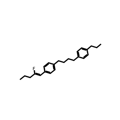 CCCC(F)=Cc1ccc(CCCCc2ccc(CCC)cc2)cc1